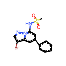 CS(=O)(=O)Nc1cc(-c2ccccc2)cc2c(Br)cnn12